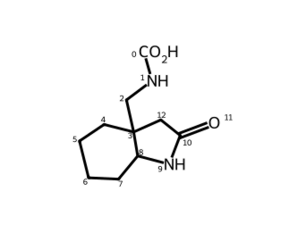 O=C(O)NCC12CCCCC1NC(=O)C2